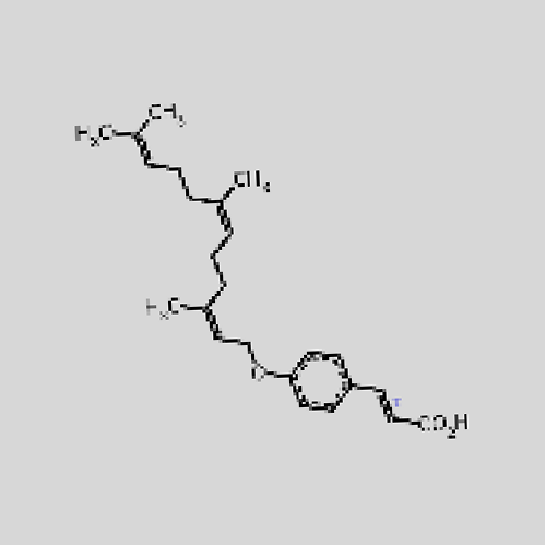 CC(C)=CCCC(C)=CCCC(C)=CCOc1ccc(/C=C/C(=O)O)cc1